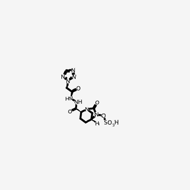 O=C(Cn1ncnn1)NNC(=O)[C@@H]1CC[C@@H]2CN1C(=O)N2OS(=O)(=O)O